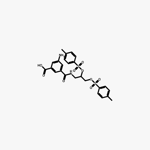 Cc1ccc(S(=O)(=O)OCC(CNC(=O)c2cc(N)cc(C(=O)O)c2)OS(=O)(=O)c2ccc(C)cc2)cc1